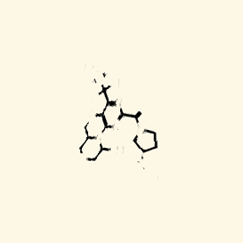 CC1COCC2COc3c(nc(C(=O)N4CC[C@@H](N)C4)nc3C(C)(C)S(C)(=O)=O)N12